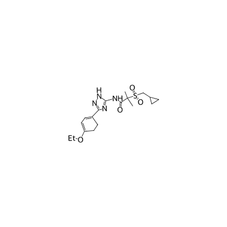 CCOC1=CC=C(c2n[nH]c(NC(=O)C(C)(C)S(=O)(=O)CC3CC3)n2)CC1